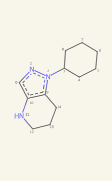 c1nn(C2CCCCC2)c2c1NCCC2